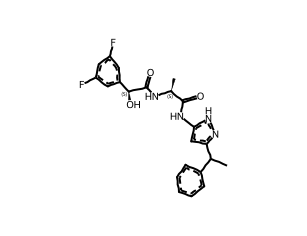 CC(c1ccccc1)c1cc(NC(=O)[C@H](C)NC(=O)[C@@H](O)c2cc(F)cc(F)c2)[nH]n1